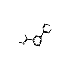 C/C=C\C(=C/C)c1cccc(/C(C)=N/C)c1